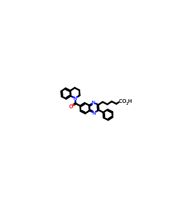 O=C(O)CCCCc1nc2cc(C(=O)N3CCCc4ccccc43)ccc2nc1-c1ccccc1